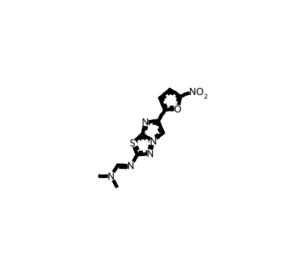 CN(C)C=Nc1nn2cc(-c3ccc([N+](=O)[O-])o3)nc2s1